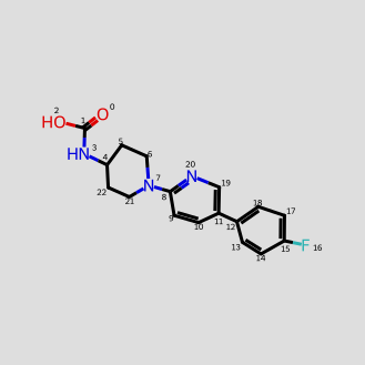 O=C(O)NC1CCN(c2ccc(-c3ccc(F)cc3)cn2)CC1